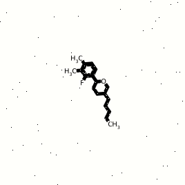 CCCCCC1CCC(c2ccc(C)c(C)c2F)OC1